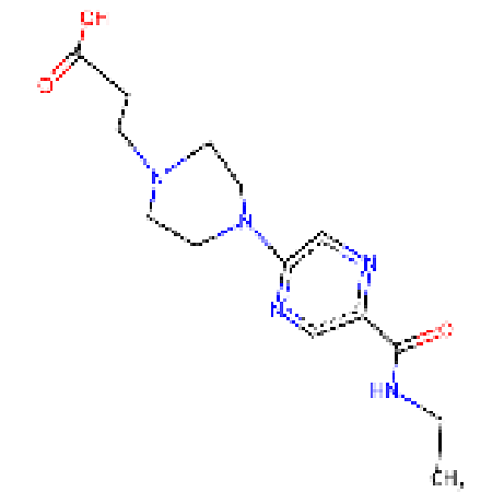 CCNC(=O)c1cnc(N2CCN(CCC(=O)O)CC2)cn1